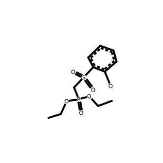 CCOP(=O)(CS(=O)(=O)c1ccccc1[O])OCC